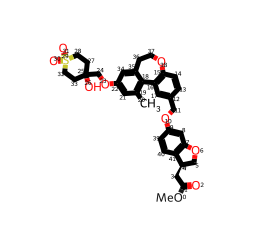 COC(=O)C[C@@H]1COc2cc(OCc3ccc4c(c3)-c3c(C)cc(OCC5(O)CCS(=O)(=O)CC5)cc3CCO4)ccc21